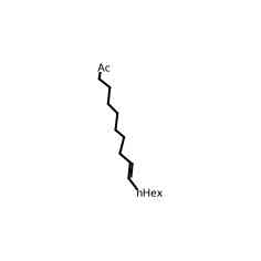 CCCCCC/C=C/CCCCCCCC(C)=O